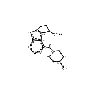 CCOC(=O)C1CCc2sc3ncnc(N[C@H]4CC[C@H](N)CC4)c3c21